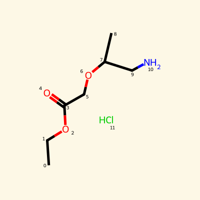 CCOC(=O)COC(C)CN.Cl